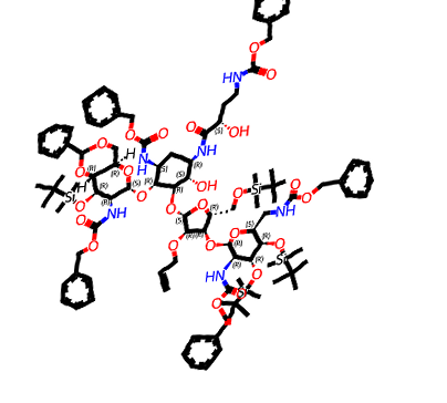 C=CCO[C@H]1[C@H](O[C@@H]2[C@@H](O)[C@H](NC(=O)[C@@H](O)CCNC(=O)OCc3ccccc3)C[C@H](NC(=O)OCc3ccccc3)[C@H]2O[C@H]2O[C@@H]3COC(c4ccccc4)O[C@H]3[C@H](O[Si](C)(C)C(C)(C)C)[C@H]2NC(=O)OCc2ccccc2)O[C@H](CO[Si](C)(C)C(C)(C)C)[C@H]1O[C@H]1O[C@@H](CNC(=O)OCc2ccccc2)[C@@H](O[Si](C)(C)C(C)(C)C)[C@H](O[Si](C)(C)C(C)(C)C)[C@H]1NC(=O)OCc1ccccc1